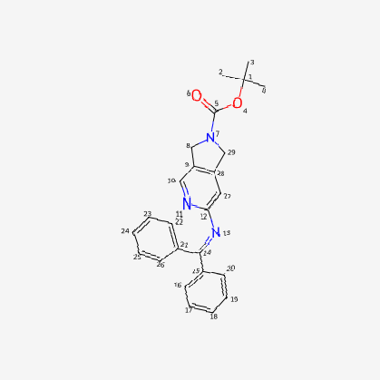 CC(C)(C)OC(=O)N1Cc2cnc(N=C(c3ccccc3)c3ccccc3)cc2C1